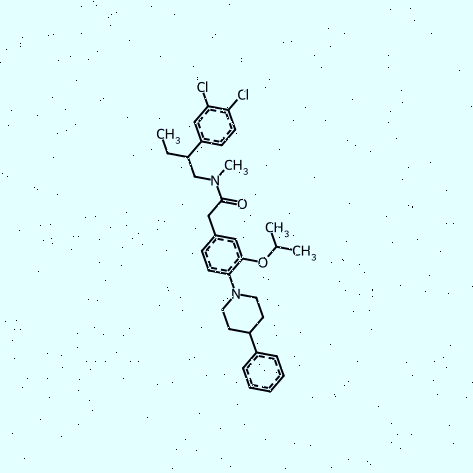 CCC(CN(C)C(=O)Cc1ccc(N2CCC(c3ccccc3)CC2)c(OC(C)C)c1)c1ccc(Cl)c(Cl)c1